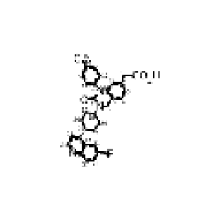 O=C(O)Cc1ccc(CN(C(=O)Nc2ccc(Cl)cc2)[C@H]2CC[C@@H](c3ccnc4ccc(F)cc43)CC2)cc1